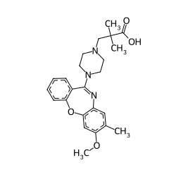 COc1cc2c(cc1C)N=C(N1CCN(CC(C)(C)C(=O)O)CC1)c1ccccc1O2